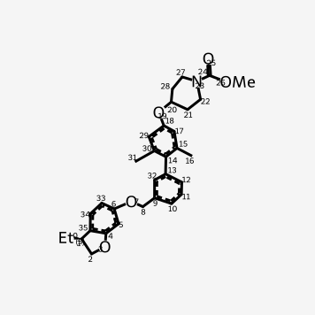 CC[C@@H]1COc2cc(OCc3cccc(-c4c(C)cc(OC5CCN(C(=O)OC)CC5)cc4C)c3)ccc21